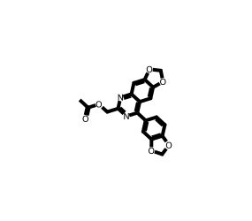 CC(=O)OCc1nc(-c2ccc3c(c2)OCO3)c2cc3c(cc2n1)OCO3